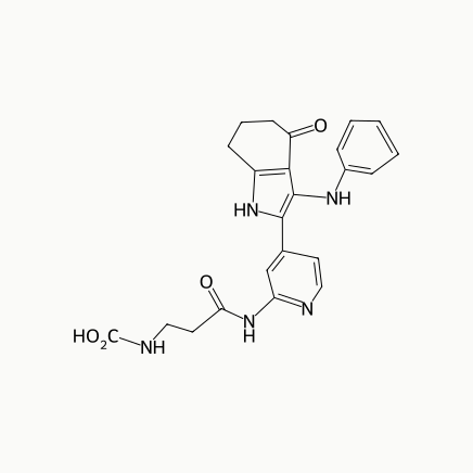 O=C(O)NCCC(=O)Nc1cc(-c2[nH]c3c(c2Nc2ccccc2)C(=O)CCC3)ccn1